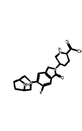 O=CC(=O)C1CCC(N2Cc3cc(N4CC5CCC(C4)N5)c(F)cc3C2=O)CN1